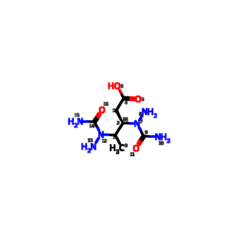 CC([C@@H](CC(=O)O)N(N)C(N)=O)N(N)C(N)=O